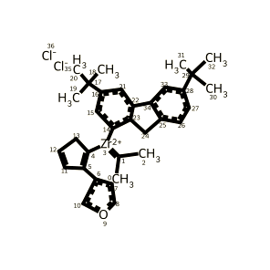 C[C](C)=[Zr+2]([C]1=C(c2ccoc2)C=CC1)[c]1cc(C(C)(C)C)cc2c1Cc1ccc(C(C)(C)C)cc1-2.[Cl-].[Cl-]